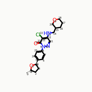 C[C@H]1CC[C@H](c2ccc(-n3ncc(NCC4CCCOC4)c(Cl)c3=O)cc2)O1